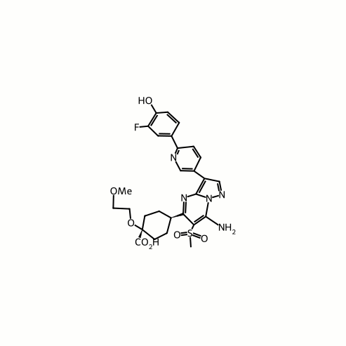 COCCO[C@]1(C(=O)O)CC[C@@H](c2nc3c(-c4ccc(-c5ccc(O)c(F)c5)nc4)cnn3c(N)c2S(C)(=O)=O)CC1